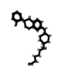 Cc1ccccc1C1CCc2cc(OC3CCC(NCCCOC(C)C)CC3)ccc2O1